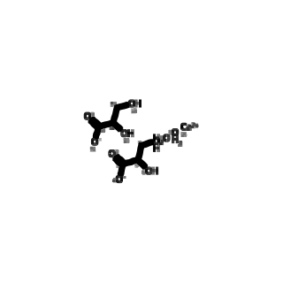 O.O.O=C([O-])C(O)CO.O=C([O-])C(O)CO.[Ca+2]